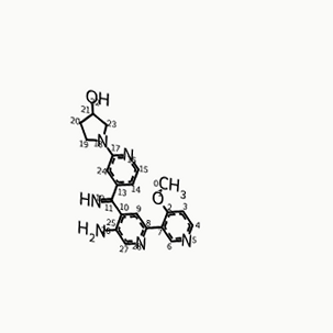 COc1ccncc1-c1cc(C(=N)c2ccnc(N3CCC(O)C3)c2)c(N)cn1